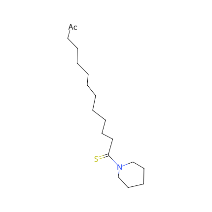 CC(=O)CCCCCCCCCCC(=S)N1CCCCC1